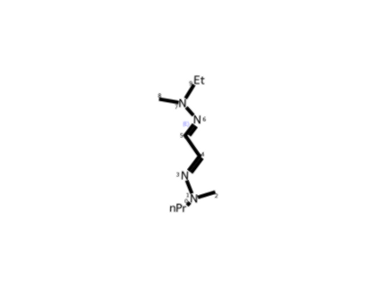 CCCN(C)N=C/[C]=N/N(C)CC